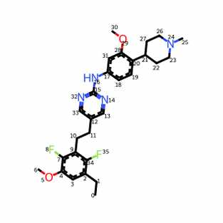 CCc1cc(OC)c(F)c(CCc2cnc(Nc3ccc(C4CCN(C)CC4)c(OC)c3)nc2)c1F